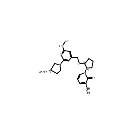 CO[C@H]1CCN(c2cc(CO[C@H]3CCC[C@H]3n3cccc(NC(C)C)c3=O)cc(NC(C)C)n2)C1